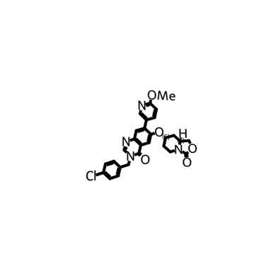 COc1ccc(-c2cc3ncn(Cc4ccc(Cl)cc4)c(=O)c3cc2O[C@H]2CCN3C(=O)OC[C@@H]3C2)cn1